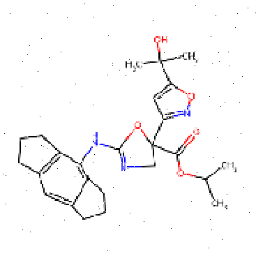 CC(C)OC(=O)C1(c2cc(C(C)(C)O)on2)CN=C(Nc2c3c(cc4c2CCC4)CCC3)O1